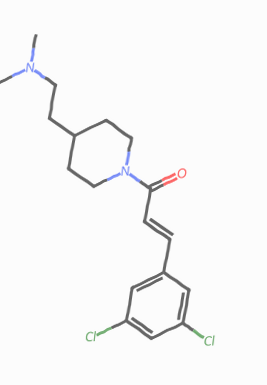 CN(C)CCC1CCN(C(=O)/C=C/c2cc(Cl)cc(Cl)c2)CC1